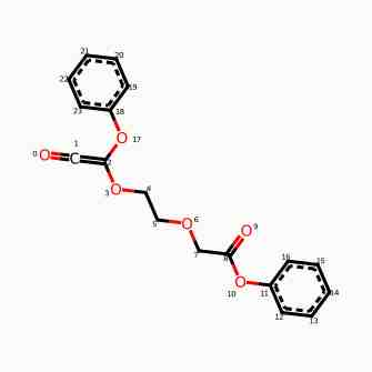 O=C=C(OCCOCC(=O)Oc1ccccc1)Oc1ccccc1